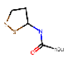 CCCCC(=O)[N]C1CCSS1